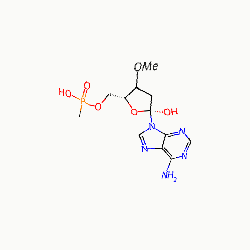 COC1C[C@@](O)(n2cnc3c(N)ncnc32)O[C@@H]1COP(C)(=O)O